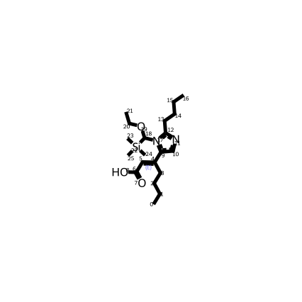 CCCC/C(=C\C(=O)O)c1cnc(CCCC)n1C(OCC)[Si](C)(C)C